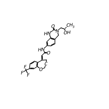 C[C@@H](O)CN1Cc2ccc(NC(=O)/C=C3\CCCOc4cc(C(F)(F)F)ccc43)cc2NC1=O